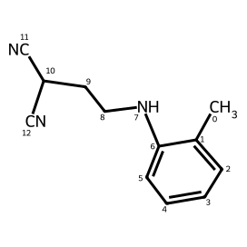 Cc1ccccc1NCCC(C#N)C#N